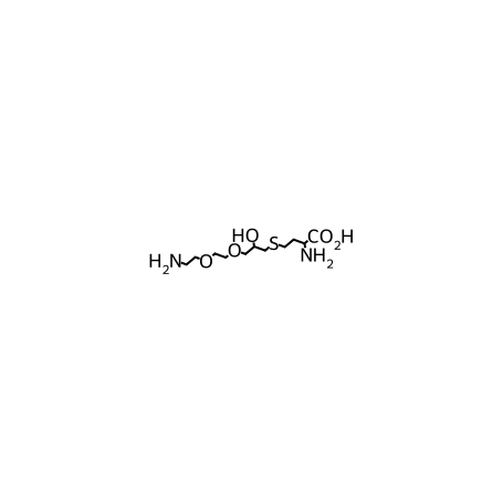 NCCOCCOCC(O)CSCCC(N)C(=O)O